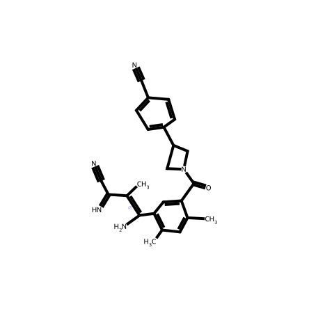 C/C(C(=N)C#N)=C(/N)c1cc(C(=O)N2CC(c3ccc(C#N)cc3)C2)c(C)cc1C